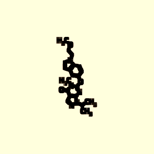 COCCn1ccc2cc(Oc3nc4c(cnn4C(C)C)c(=O)n3C)ccc21